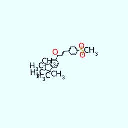 CC1C(C)(C)c2ccc(C(=O)C=Cc3ccc(S(C)(=O)=O)cc3)cc2C1(C)C